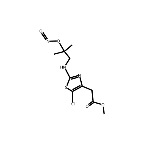 COC(=O)Cc1nc(NCC(C)(C)ON=O)sc1Cl